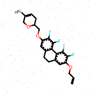 C=CCOc1cc2c(c(F)c1F)-c1c(cc(OCC3CC=C(CCC)CO3)c(F)c1F)CC2